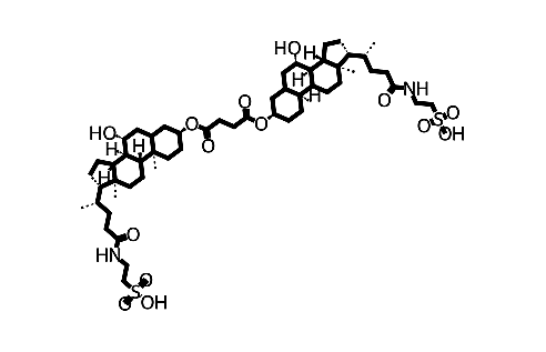 C[C@H](CCC(=O)NCCS(=O)(=O)O)[C@H]1CC[C@H]2[C@@H]3[C@@H](O)CC4C[C@H](OC(=O)CCC(=O)O[C@H]5CC[C@]6(C)C(C5)C[C@@H](O)[C@@H]5[C@H]7CC[C@@H]([C@@H](C)CCC(=O)NCCS(=O)(=O)O)[C@]7(C)CC[C@H]56)CC[C@]4(C)[C@H]3CC[C@]12C